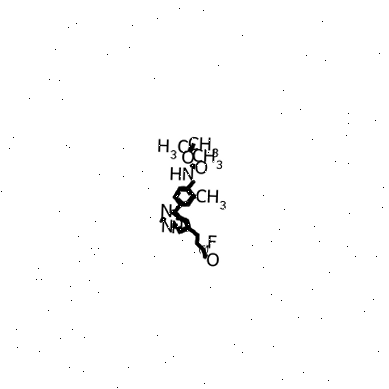 Cc1cc(-c2ncnn3cc(CC[C@H](F)C=O)cc23)ccc1CNC(=O)OC(C)(C)C